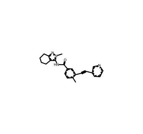 Cc1ccc(C(=O)Nc2c3c(nn2C)CCCC3)cc1C#Cc1cccnc1